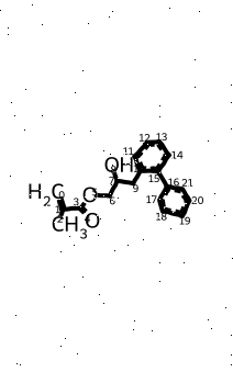 C=C(C)C(=O)OCC(O)Cc1ccccc1-c1ccccc1